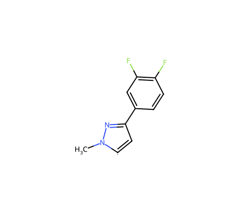 Cn1[c]cc(-c2ccc(F)c(F)c2)n1